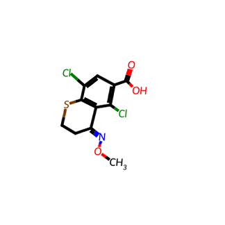 CON=C1CCSc2c(Cl)cc(C(=O)O)c(Cl)c21